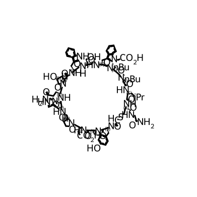 CCCC[C@H]1C(=O)N(C)[C@@H](CCCC)C(=O)N[C@@H](CC(C)C)C(=O)N[C@H](C(=O)NCC(N)=O)CSCC(=O)N[C@@H](Cc2ccc(O)cc2)C(=O)N(C)[C@@H](C)C(=O)N[C@@H](CC(=O)O)C(=O)N2CCC[C@H]2C(=O)N[C@@H](Cc2c[nH]cn2)C(=O)N[C@@H](CCC(N)=O)C(=O)N2C[C@H](O)C[C@H]2C(=O)N[C@@H](Cc2c[nH]c3ccccc23)C(=O)N[C@@H](CO)C(=O)N[C@@H](Cc2cn(CC(=O)O)c3ccccc23)C(=O)N1C